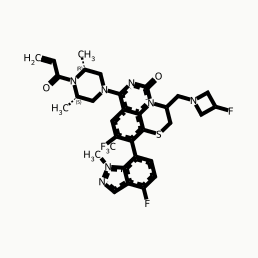 C=CC(=O)N1[C@H](C)CN(c2nc(=O)n3c4c(c(-c5ccc(F)c6cnn(C)c56)c(C(F)(F)F)cc24)SCC3CN2CC(F)C2)C[C@@H]1C